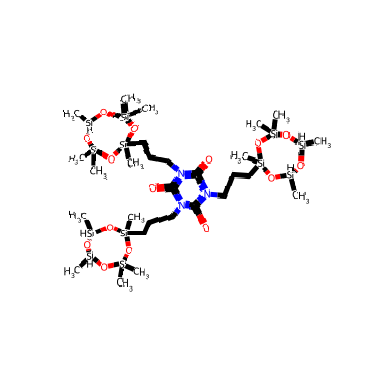 C[SiH]1O[SiH](C)O[Si](C)(CCCn2c(=O)n(CCC[Si]3(C)O[SiH](C)O[SiH](C)O[Si](C)(C)O3)c(=O)n(CCC[Si]3(C)O[Si](C)(C)O[SiH](C)O[Si](C)(C)O3)c2=O)O[Si](C)(C)O1